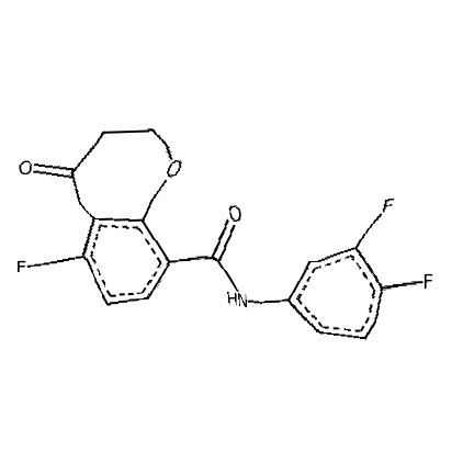 O=C(Nc1ccc(F)c(F)c1)c1ccc(F)c2c1OCCC2=O